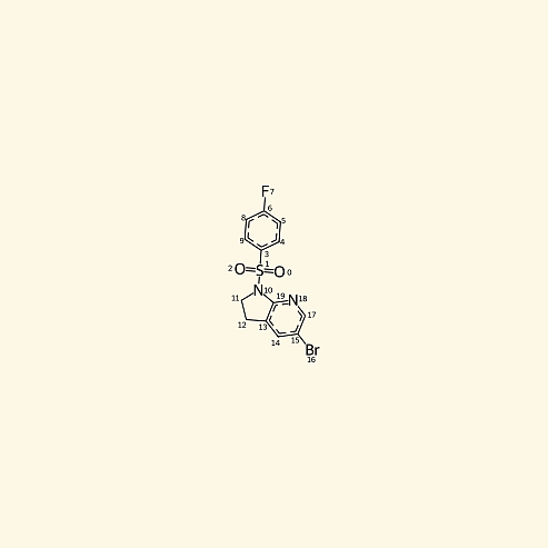 O=S(=O)(c1ccc(F)cc1)N1CCc2cc(Br)cnc21